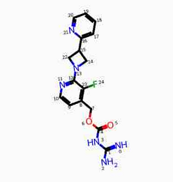 N=C(N)NC(=O)OCc1ccnc(N2CC(c3ccccn3)C2)c1F